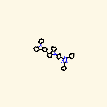 c1ccc(-c2nc(-c3ccccc3)nc(-c3ccc(-n4c5ccccc5c5c(-c6ccc7c(c6)c6ccccc6n7-c6ccccc6)cccc54)cc3)n2)cc1